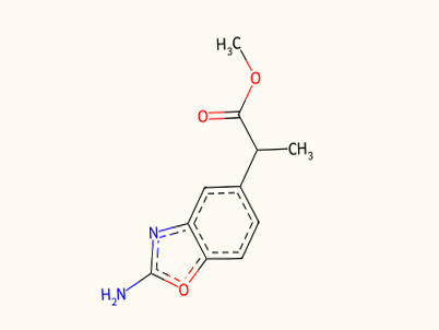 COC(=O)C(C)c1ccc2oc(N)nc2c1